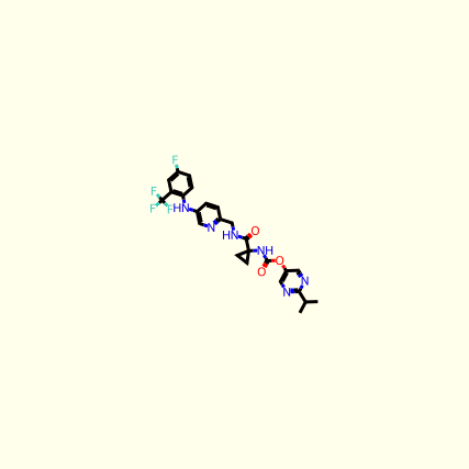 CC(C)c1ncc(OC(=O)NC2(C(=O)NCc3ccc(Nc4ccc(F)cc4C(F)(F)F)cn3)CC2)cn1